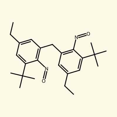 CCc1cc(Cc2cc(CC)cc(C(C)(C)C)c2N=O)c(N=O)c(C(C)(C)C)c1